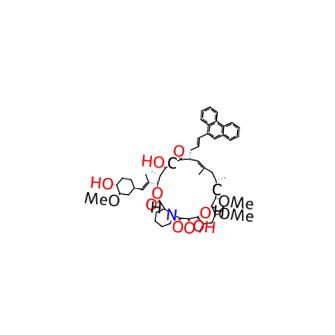 CO[C@H]1C[C@@H](C)C/C(C)=C/[C@@H](C/C=C/c2cc3ccccc3c3ccccc23)C(=O)C[C@H](O)[C@@H](C)[C@@H](/C(C)=C/[C@@H]2CC[C@@H](O)[C@H](OC)C2)OC(=O)[C@@H]2CCCCN2C(=O)C(=O)[C@]2(O)O[C@H]1[C@@H](OC)C[C@H]2C